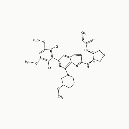 C=CC(=O)N[C@H]1COC[C@H]1Nc1ncc2cc(-c3c(Cl)c(OC)cc(OC)c3Cl)nc(N3CCCC(OC)C3)c2n1